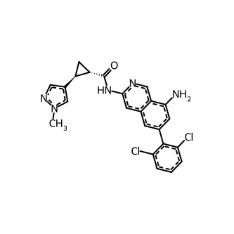 Cn1cc([C@H]2C[C@@H]2C(=O)Nc2cc3cc(-c4c(Cl)cccc4Cl)cc(N)c3cn2)cn1